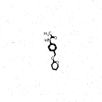 CC(=O)Nc1ccc(COC2CCCCO2)cc1